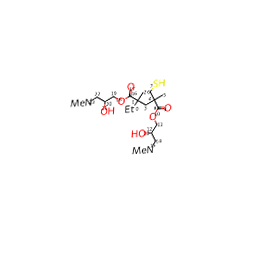 CCC(C)(CC(C)(CS)C(=O)OCC(O)CNC)C(=O)OCC(O)CNC